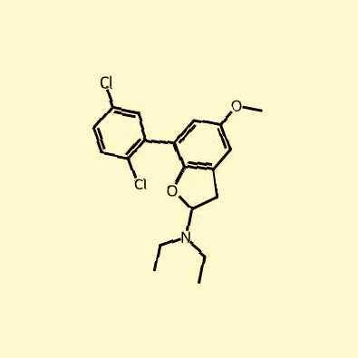 CCN(CC)C1Cc2cc(OC)cc(-c3cc(Cl)ccc3Cl)c2O1